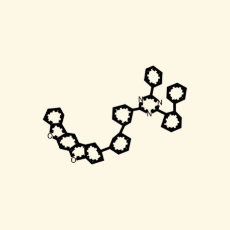 c1ccc(-c2nc(-c3cccc(-c4cccc(-c5ccc6oc7cc8oc9ccccc9c8cc7c6c5)c4)c3)nc(-c3ccccc3-c3ccccc3)n2)cc1